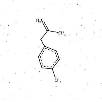 C=C(C)Cc1ccc(C(F)(F)F)cc1